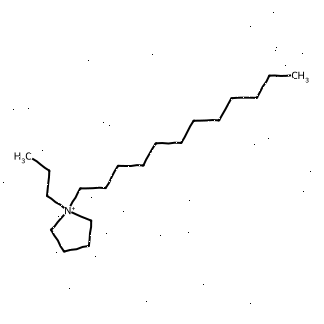 CCCCCCCCCCCC[N+]1(CCC)CCCC1